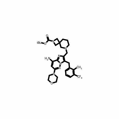 Cc1c(Cc2c(CN3CCCC4(C3)CN(C(=O)OC(C)(C)C)C4)nc3c(N)cc(N4CCOCC4)nn23)cccc1C(F)(F)F